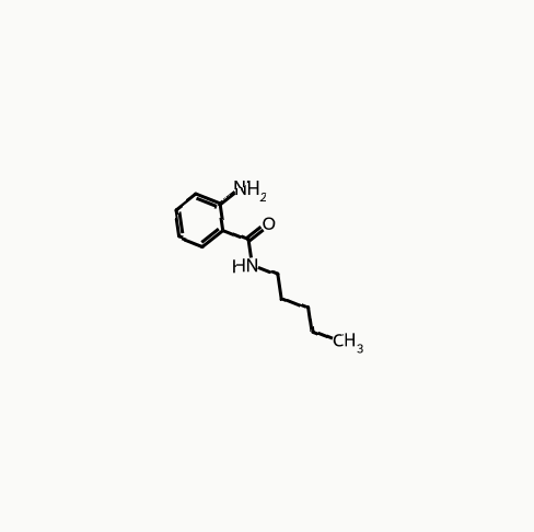 CCCCCNC(=O)c1ccccc1N